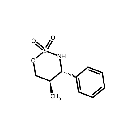 C[C@H]1COS(=O)(=O)N[C@@H]1c1ccccc1